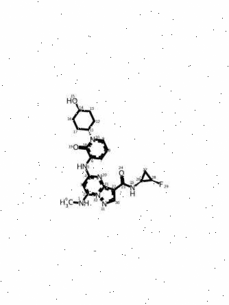 CNc1cc(Nc2cccn([C@H]3CC[C@H](O)CC3)c2=O)nc2c(C(=O)N[C@H]3C[C@H]3F)cnn12